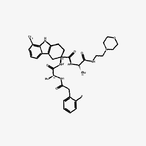 CCC(C)[C@H](NC(=O)Cc1ccccc1F)C(=O)N[C@]1(C(=O)NC(C(=O)NCCN2CCOCC2)[C@@H](C)CC)CCc2[nH]c3c(C(F)(F)F)cccc3c2C1